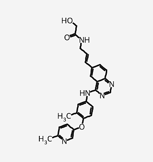 Cc1ccc(Oc2ccc(Nc3ncnc4ccc(C=CCNC(=O)CO)cc34)cc2C)cn1